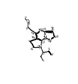 CCC(CC)N1CCc2c(COC)nc3ccnn3c21